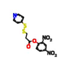 O=C(CCSSc1ccncc1)Oc1ccc([N+](=O)[O-])cc1[N+](=O)[O-]